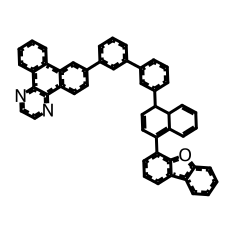 C1=CC2=C(c3cccc4c3oc3ccccc34)C=CC(c3cccc(-c4cccc(-c5ccc6c(c5)c5ccccc5c5nccnc65)c4)c3)C2C=C1